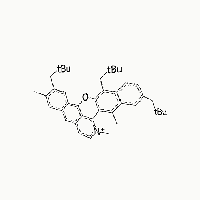 Cc1cc2cc3cc[n+](C)c4c3c(c2cc1CC(C)(C)C)Oc1c-4c(C)c2cc(CC(C)(C)C)ccc2c1CC(C)(C)C